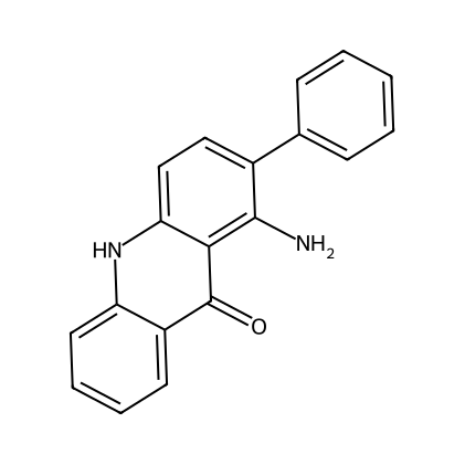 Nc1c(-c2ccccc2)ccc2[nH]c3ccccc3c(=O)c12